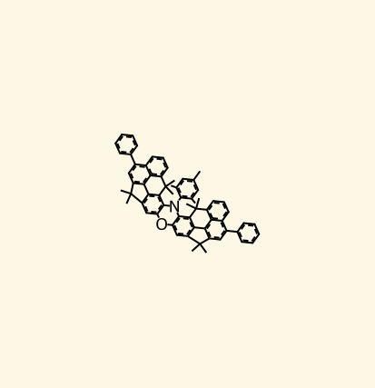 Cc1cc(C)c(N2c3c(cc4c5c3C(C)(C)c3cccc6c(-c7ccccc7)cc(c-5c36)C4(C)C)Oc3cc4c5c(c32)C(C)(C)c2cccc3c(-c6ccccc6)cc(c-5c23)C4(C)C)c(C)c1